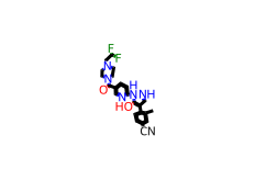 Cc1cc(C#N)ccc1/C(C=N)=C(\O)Nc1ccc(C(=O)N2CCN(CC(F)F)CC2)cn1